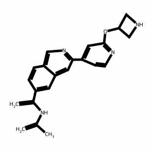 C=C(C)NC(=C)c1ccc2cnc(-c3ccnc(OC4CNC4)c3)cc2c1